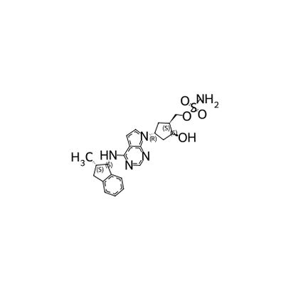 C[C@H]1Cc2ccccc2[C@H]1Nc1ncnc2c1ccn2[C@@H]1C[C@@H](COS(N)(=O)=O)[C@@H](O)C1